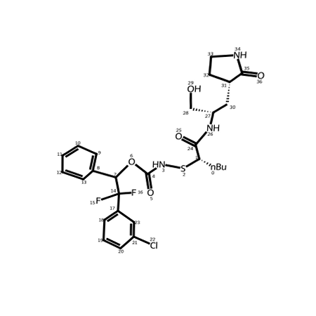 CCCC[C@H](SNC(=O)OC(c1ccccc1)C(F)(F)c1cccc(Cl)c1)C(=O)N[C@H](CO)C[C@@H]1CCNC1=O